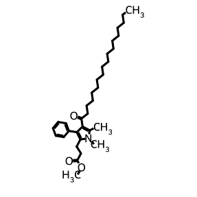 CCCCCCCCCCCCCCCCCC(=O)c1c(-c2ccccc2)c(CCC(=O)OC)n(C)c1C